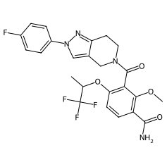 COc1c(C(N)=O)ccc(OC(C)C(F)(F)F)c1C(=O)N1CCc2nn(-c3ccc(F)cc3)cc2C1